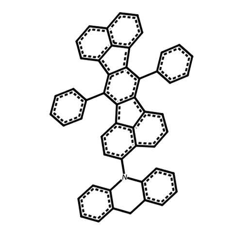 c1ccc(-c2c3c4cccc5cccc(c3c(-c3ccccc3)c3c6ccc(N7c8ccccc8Cc8ccccc87)c7cccc(c23)c76)c54)cc1